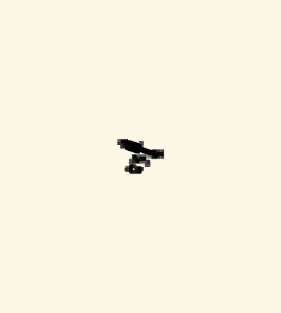 N.N#CS.[Co]